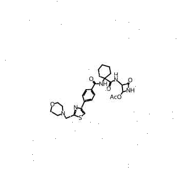 CC(=O)OC1NC(=O)C1NC(=O)C1(NC(=O)c2ccc(-c3csc(CN4CCOCC4)n3)cc2)CCCCC1